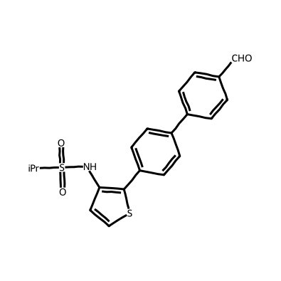 CC(C)S(=O)(=O)Nc1ccsc1-c1ccc(-c2ccc(C=O)cc2)cc1